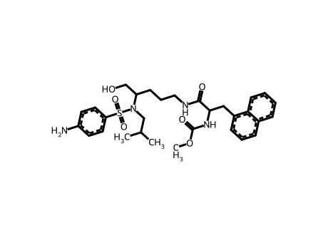 COC(=O)NC(Cc1cccc2ccccc12)C(=O)NCCCC(CO)N(CC(C)C)S(=O)(=O)c1ccc(N)cc1